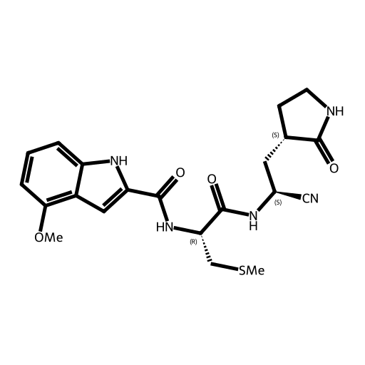 COc1cccc2[nH]c(C(=O)N[C@@H](CSC)C(=O)N[C@H](C#N)C[C@@H]3CCNC3=O)cc12